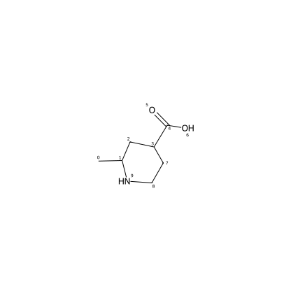 CC1CC(C(=O)O)CCN1